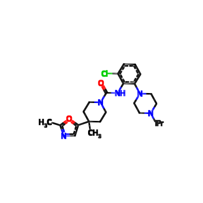 Cc1ncc(C2(C)CCN(C(=O)Nc3c(Cl)cccc3N3CCN(C(C)C)CC3)CC2)o1